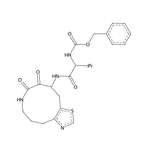 CC(C)C(NC(=O)OCc1ccccc1)C(=O)NC1Cc2scnc2CCCNC(=O)C1=O